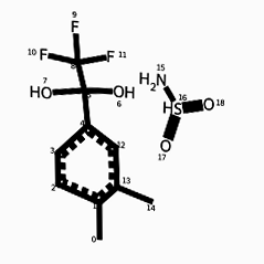 Cc1ccc(C(O)(O)C(F)(F)F)cc1C.N[SH](=O)=O